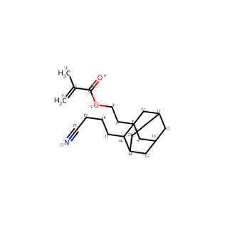 C=C(C)C(=O)OCCC12CC3CC(CC(C3)C1CCCC#N)C2